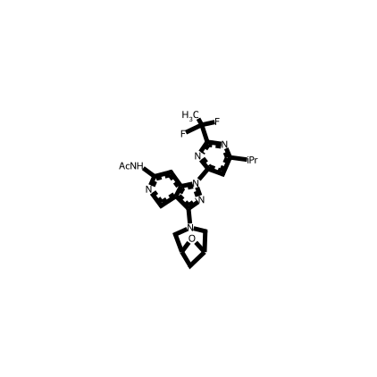 CC(=O)Nc1cc2c(cn1)c(N1CC3CC(C1)O3)nn2-c1cc(C(C)C)nc(C(C)(F)F)n1